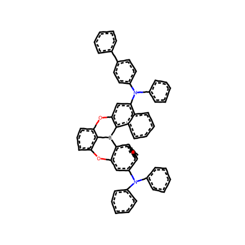 c1ccc(-c2ccc(N(c3ccccc3)c3cc4c(c5ccccc35)B3c5c(cccc5O4)Oc4cc(N(c5ccccc5)c5ccccc5)c5ccccc5c43)cc2)cc1